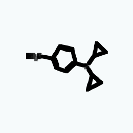 O=C(O)c1ccc(N(C2CC2)C2CC2)cc1